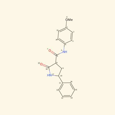 COc1ccc(NC(=O)C2CC(c3ccccc3)NC2=O)cc1